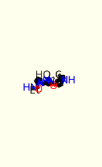 CCNC(=O)[C@@H]1CCCN1Cc1cc(Oc2ccc3[nH]cc(C(=O)O)c3c2)ncn1